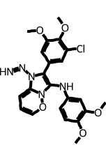 COc1ccc(NC2=C(c3cc(Cl)c(OC)c(OC)c3)N(N=N)C3=CC=CON32)cc1OC